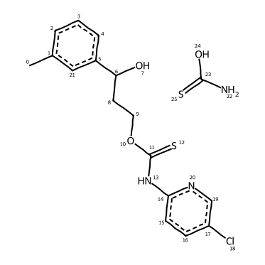 Cc1cccc(C(O)CCOC(=S)Nc2ccc(Cl)cn2)c1.NC(O)=S